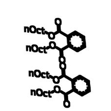 CCCCCCCCOC(=O)c1ccccc1C(=O)OCCCCCCCC.CCCCCCCCOC(=O)c1ccccc1C(=O)OCCCCCCCC